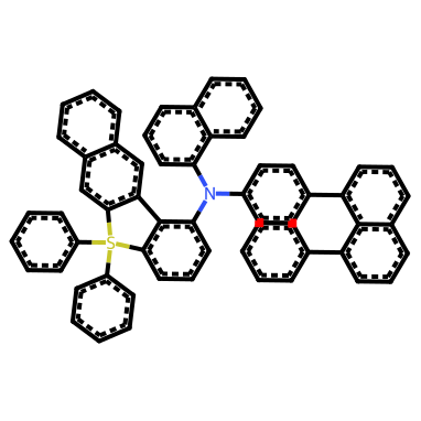 c1ccc(-c2cccc3cccc(-c4ccc(N(c5cccc6c5-c5cc7ccccc7cc5S6(c5ccccc5)c5ccccc5)c5cccc6ccccc56)cc4)c23)cc1